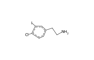 NCCc1ccc(Cl)c(I)c1